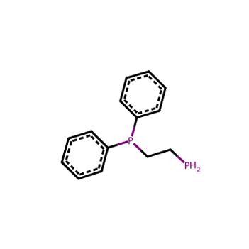 PCCP(c1ccccc1)c1ccccc1